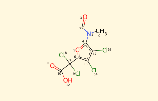 CN(C=O)c1oc(C(Cl)(Cl)C(=O)O)c(Cl)c1Cl